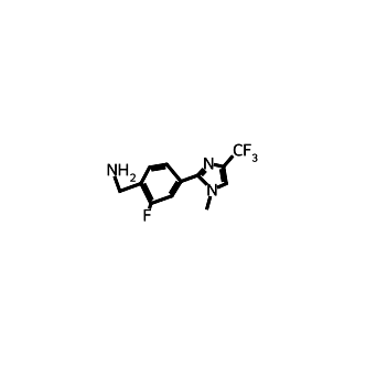 Cn1cc(C(F)(F)F)nc1-c1ccc(CN)c(F)c1